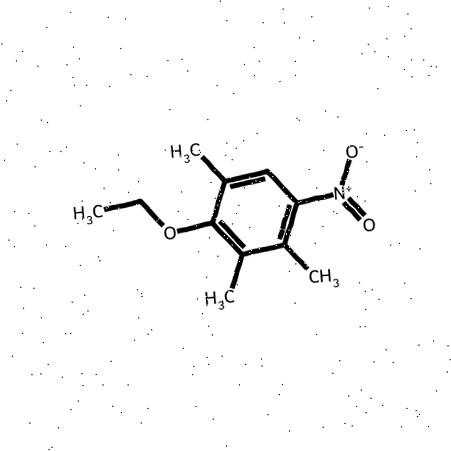 CCOc1c(C)cc([N+](=O)[O-])c(C)c1C